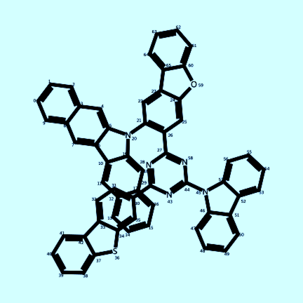 c1ccc2cc3c(cc2c1)c1cc2ccccc2cc1n3-c1cc2c(cc1-c1nc(-c3ccc4c(c3)sc3ccccc34)nc(-n3c4ccccc4c4ccccc43)n1)oc1ccccc12